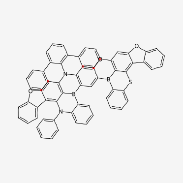 c1ccc(-c2cccc(-c3ccccc3)c2N2c3cc4c(cc3B3c5ccccc5N(c5ccccc5)c5c3c2cc2oc3ccccc3c52)B2c3ccccc3Sc3c2c(cc2oc5ccccc5c32)O4)cc1